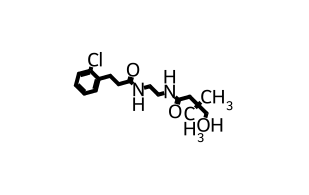 CC(C)(CO)CC(=O)NCCNC(=O)CCc1ccccc1Cl